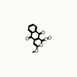 COC1=CC2=C(C(=O)c3ccccc3C2=O)C(=C=O)O1